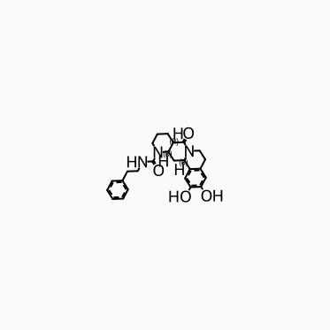 O=C1[C@@H]2CCCN(C(=O)NCCc3ccccc3)[C@@H]2C[C@@H]2c3cc(O)c(O)cc3CCN12